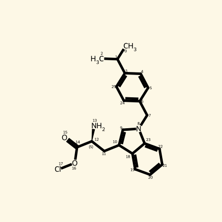 CC(C)c1ccc(Cn2cc(C[C@H](N)C(=O)OCl)c3ccccc32)cc1